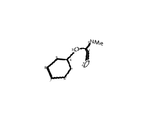 CNC(=O)OC1C[CH]CCC1